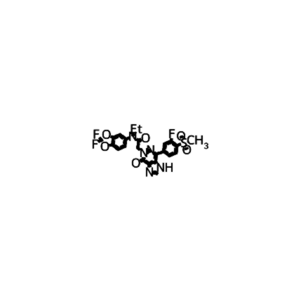 CCN(C(=O)Cn1nc(-c2ccc(S(C)(=O)=O)c(F)c2)c2[nH]cnc2c1=O)c1ccc2c(c1)OC(F)(F)O2